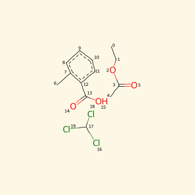 CCOC(C)=O.Cc1ccccc1C(=O)O.ClC(Cl)Cl